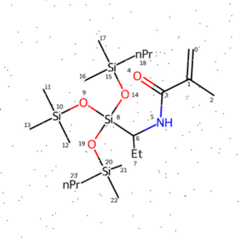 C=C(C)C(=O)NC(CC)[Si](O[Si](C)(C)C)(O[Si](C)(C)CCC)O[Si](C)(C)CCC